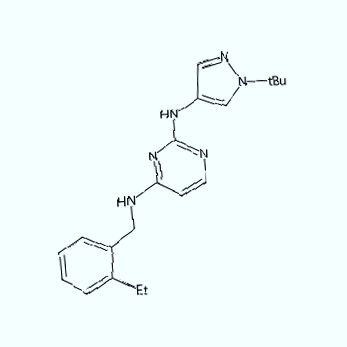 CCc1ccccc1CNc1ccnc(Nc2cnn(C(C)(C)C)c2)n1